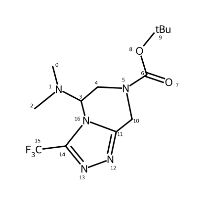 CN(C)C1CN(C(=O)OC(C)(C)C)Cc2nnc(C(F)(F)F)n21